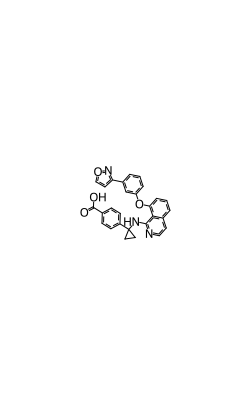 O=C(O)c1ccc(C2(Nc3nccc4cccc(Oc5cccc(-c6ccon6)c5)c34)CC2)cc1